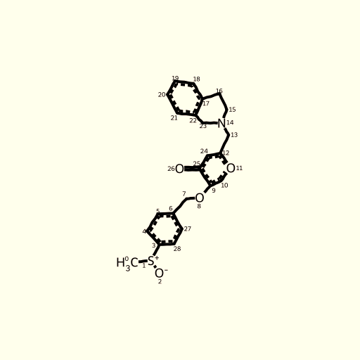 C[S+]([O-])c1ccc(COc2coc(CN3CCc4ccccc4C3)cc2=O)cc1